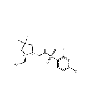 CC1(C)O[C@H](CN)[C@@H](CNS(=O)(=O)c2ccc(Cl)cc2Cl)O1